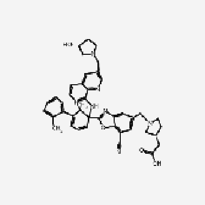 Cc1ccccc1C1=CC=CC(Nc2nccc3cc(CN4CC[C@@H](O)C4)cnc23)(c2nc3cc(CN4CC[C@@H](CC(=O)O)C4)cc(C#N)c3o2)C1C